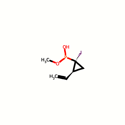 C=C[C@@H]1C[C@]1(I)P(O)OC